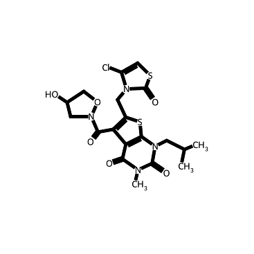 CC(C)Cn1c(=O)n(C)c(=O)c2c(C(=O)N3CC(O)CO3)c(Cn3c(Cl)csc3=O)sc21